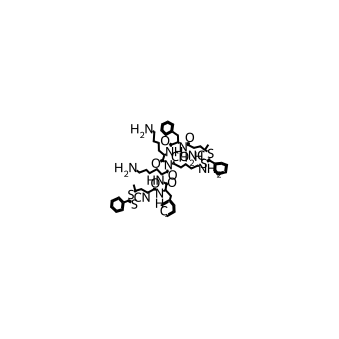 CC(C#N)(CCC(=O)NC(Cc1ccccc1)C(=O)NC(CCCCN)C(=O)N(C(=O)C(CCCCN)NC(=O)C(Cc1ccccc1)NC(=O)CCC(C)(C#N)SC(=S)c1ccccc1)C(CCCCN)C(=O)O)SC(=S)c1ccccc1